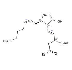 CCCCC[C@@H](/C=C/[C@H]1C(O)C=C[C@@H]1C/C=C\CCCC(=O)O)OC(=O)CC